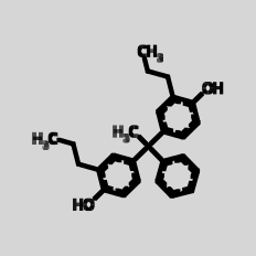 CCCc1cc(C(C)(c2ccccc2)c2ccc(O)c(CCC)c2)ccc1O